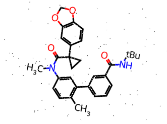 Cc1ccc(N(C)C(=O)C2(c3ccc4c(c3)OCO4)CC2)cc1-c1cccc(C(=O)NC(C)(C)C)c1